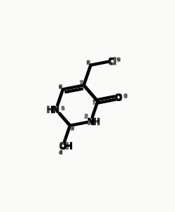 O=C1NC(O)NC=C1CCl